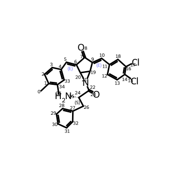 Cc1ccc(/C=C2/C(=O)/C(=C/c3ccc(Cl)c(Cl)c3)C3C2N3C(=O)[C@@H](N)Cc2ccccc2)cc1C